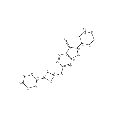 O=C1c2ccc(CN3CC(N4CCNCC4)C3)cc2CN1C1CCCNC1